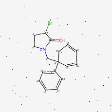 O=C1C(Br)CCN1CC1(c2ccccc2)C=CC=CC1